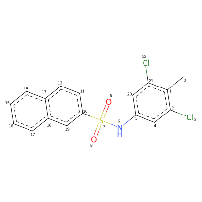 Cc1c(Cl)cc(NS(=O)(=O)c2ccc3ccccc3c2)cc1Cl